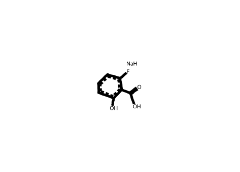 O=C(O)c1c(O)cccc1F.[NaH]